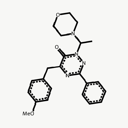 COc1ccc(Cc2nc(-c3ccccc3)nn(C(C)N3CCOCC3)c2=O)cc1